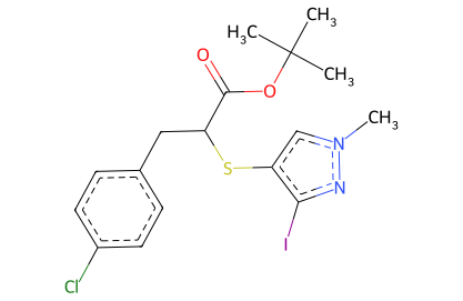 Cn1cc(SC(Cc2ccc(Cl)cc2)C(=O)OC(C)(C)C)c(I)n1